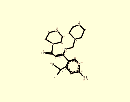 N=C(/C=C(\NCN1CCOCC1)c1cnc(N)cc1C(F)F)N1CCOCC1